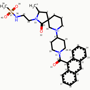 CC1CC2(CCCN(C3CCN(C(=O)c4c5ccccc5cc5ccccc45)CC3)C2)C(=O)N1CCNS(C)(=O)=O